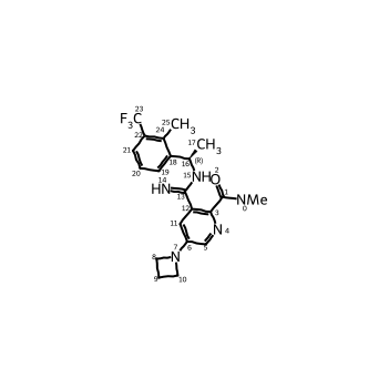 CNC(=O)c1ncc(N2CCC2)cc1C(=N)N[C@H](C)c1cccc(C(F)(F)F)c1C